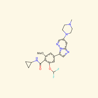 COc1cc(-c2cnc3cc(N4CCN(C)CC4)cnn23)cc(OC(F)F)c1C(=O)NC1CC1